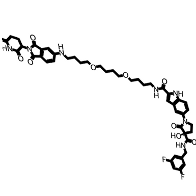 O=C1CCC(N2C(=O)c3ccc(NCCCCOCCCCOCCCCNC(=O)c4cc5cc(N6CC[C@](O)(C(=O)NCc7cc(F)cc(F)c7)C6=O)ccc5[nH]4)cc3C2=O)C(=O)N1